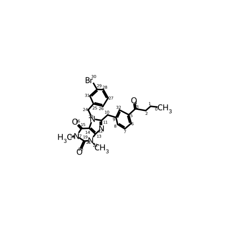 CCCC(=O)c1cccc(Cc2nc3c(c(=O)n(C)c(=O)n3C)n2Cc2cccc(Br)c2)c1